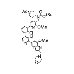 COc1nc(-c2cccc(-c3ccnc(-c4cc(OC)c5nc(CN6CCOCC6)cn5c4)c3Cl)c2Cl)ccc1CN(C(=O)OC(C)(C)C)C1CCN(C(C)=O)CC1